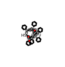 c1ccc([Si]23O[SiH2]O[SiH]4O[Si]5(c6ccccc6)O[SiH](O2)O[Si]2(c6ccccc6)O[SiH2]O[Si](c6ccccc6)(O5)O[Si](c5ccccc5)(O4)O[Si](c4ccccc4)(O3)O2)cc1